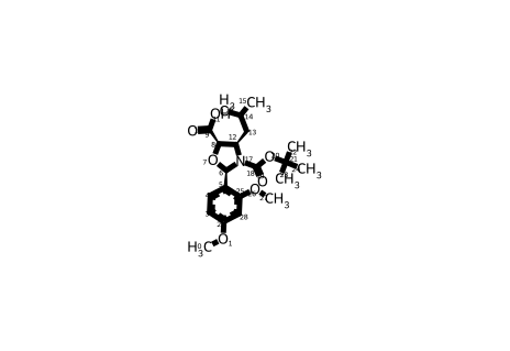 COc1ccc([C@H]2O[C@@H](C(=O)O)[C@@H](CC(C)C)N2C(=O)OC(C)(C)C)c(OC)c1